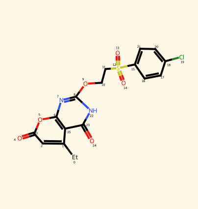 CCc1cc(=O)oc2nc(OCCS(=O)(=O)c3ccc(Cl)cc3)[nH]c(=O)c12